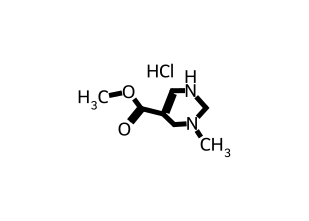 COC(=O)C1=CNCN(C)C1.Cl